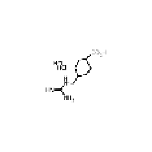 Cl.Cl.N=C(N)NCC1CCC(C(=O)O)CC1